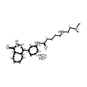 CN(C)CCNCCCCC(=O)Nc1cccc(-c2n[nH]c(=O)c3ccccc23)c1.Cl.Cl